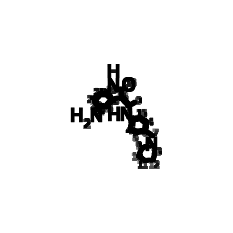 CC(Nc1ccc(CN2CCCCC2)cc1)=C1C(=O)Nc2ccc(N)cc21